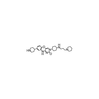 O=c1nc2c(cn1C1CCC(NCCCN3CCCCC3)CC1)Oc1ccc(C3CCNCC3)cc1N2